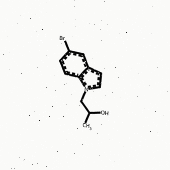 CC(O)Cn1ccc2cc(Br)ccc21